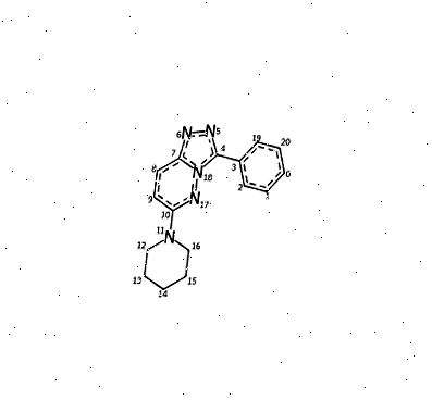 c1ccc(-c2nnc3ccc(N4CCCCC4)nn23)cc1